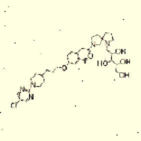 O=C(Cc1ccc(OCCCC2CCN(c3ncc(Cl)cn3)CC2)cc1F)N1CCC2(CCCN2CC(O)C(O)C(O)CO)C1